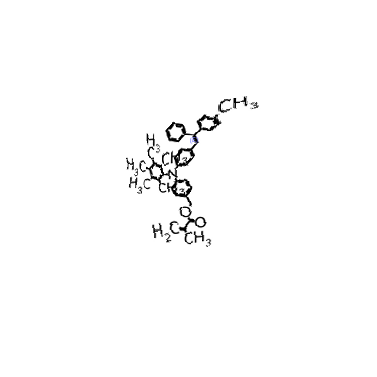 C=C(C)C(=O)OCc1ccc(N(c2ccc(/C=C(\c3ccccc3)c3ccc(C)cc3)cc2)c2c(C)c(C)c(C)c(C)c2C)cc1